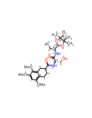 COc1cc(OC)c(OC)c2c1CCC(C(=O)N[C@@H](CO)C(=O)N[C@@H](CC(C)C)B1OC(C)(C)C(C)(C)O1)C2